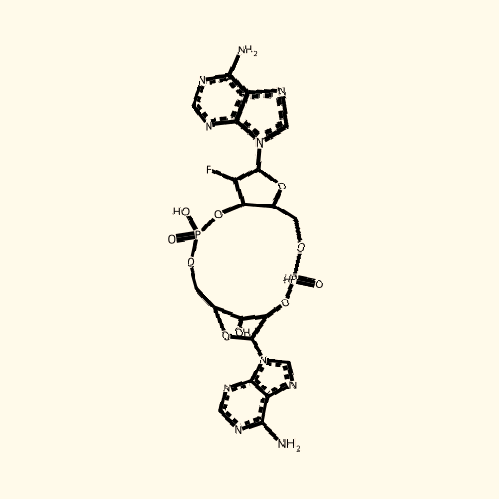 Nc1ncnc2c1ncn2C1OC2CO[PH](=O)OC3C(O)C(COP(=O)(O)OC2C1F)OC3n1cnc2c(N)ncnc21